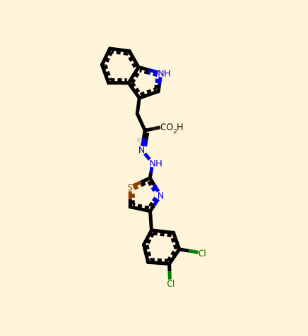 O=C(O)/C(Cc1c[nH]c2ccccc12)=N\Nc1nc(-c2ccc(Cl)c(Cl)c2)cs1